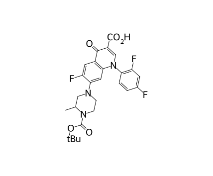 CC1CN(c2cc3c(cc2F)c(=O)c(C(=O)O)cn3-c2ccc(F)cc2F)CCN1C(=O)OC(C)(C)C